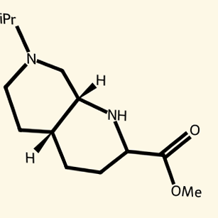 COC(=O)C1CC[C@@H]2CCN(C(C)C)C[C@@H]2N1